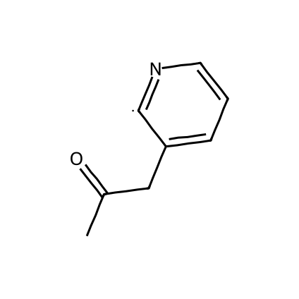 CC(=O)Cc1[c]nccc1